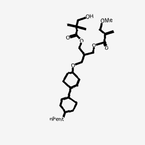 C=C(COC)C(=O)OCC(COC(=O)C(C)(C)CO)COC1CCC(C2CCC(CCCCC)CC2)CC1